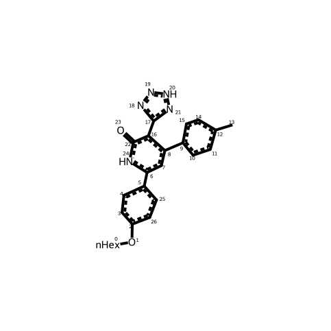 CCCCCCOc1ccc(-c2cc(-c3ccc(C)cc3)c(-c3nn[nH]n3)c(=O)[nH]2)cc1